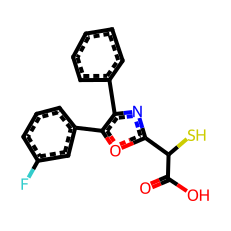 O=C(O)C(S)c1nc(-c2ccccc2)c(-c2cccc(F)c2)o1